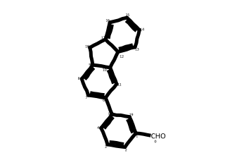 O=Cc1cccc(-c2ccc3c(c2)-c2ccccc2C3)c1